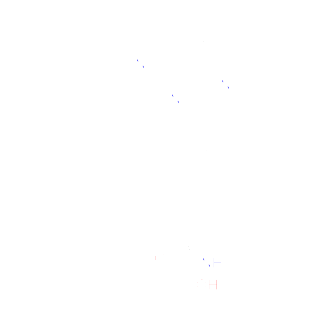 O=C(C=Cc1ccc(CN(Cc2nccc3ccccc23)C2CCCc3cccnc32)cc1)NO